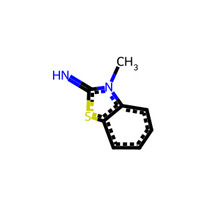 Cn1c(=N)sc2ccccc21